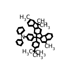 Cc1ccc2c(c1)C(C)(C)c1cc3c(cc1-2)C(c1ccc(N(c2ccccc2)c2ccccc2)cc1)(c1ccc(C(C)(C)C)cc1)c1cc(C)c2ccccc2c1-3